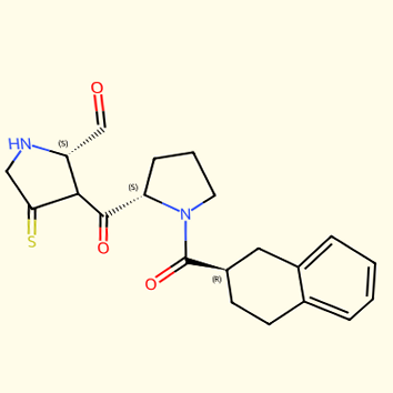 O=C[C@H]1NCC(=S)C1C(=O)[C@@H]1CCCN1C(=O)[C@@H]1CCc2ccccc2C1